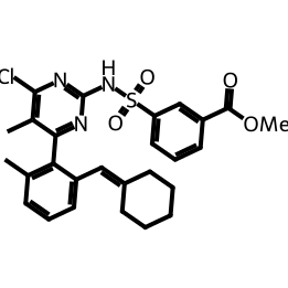 COC(=O)c1cccc(S(=O)(=O)Nc2nc(Cl)c(C)c(-c3c(C)cccc3C=C3CCCCC3)n2)c1